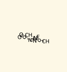 C#Cc1ccc(-c2ncc3c(n2)CCN(CCc2ccc4c(c2C)COC4=O)C3)c(F)c1